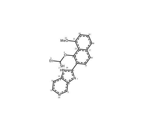 CCC(S)Oc1c(-c2nc3cnccc3[nH]2)ccc2cccc(OC)c12